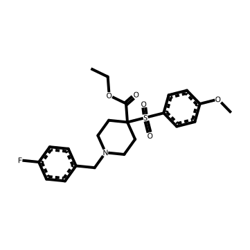 CCOC(=O)C1(S(=O)(=O)c2ccc(OC)cc2)CCN(Cc2ccc(F)cc2)CC1